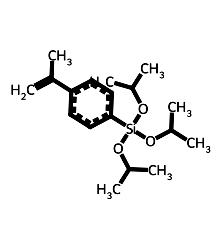 C=C(C)c1ccc([Si](OC(C)C)(OC(C)C)OC(C)C)cc1